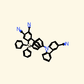 N#Cc1ccc2c(c1)c1ccccc1n2-c1ccc(-c2cc(C#N)c(C#N)cc2[Si](c2ccccc2)(c2ccccc2)c2ccccc2)cc1